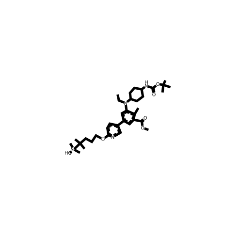 CCN(c1cc(-c2ccc(OCCCC(C)(C)[Si](C)(C)O)nc2)cc(C(=O)OC)c1C)C1CCC(NC(=O)OC(C)(C)C)CC1